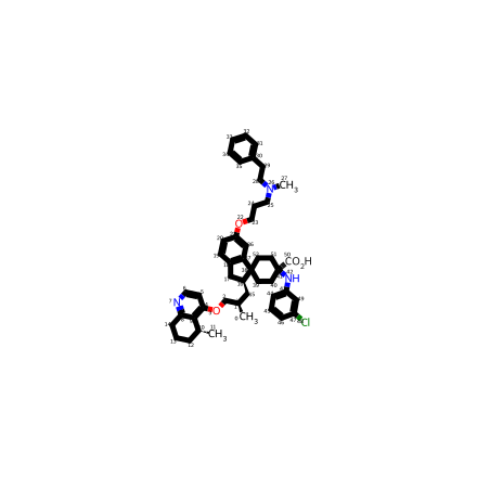 C[C@@H](COc1ccnc2c1[C@H](C)CCC2)C[C@H]1Cc2ccc(OCCCN(C)CCc3ccccc3)cc2C12CCC(Nc1cccc(Cl)c1)(C(=O)O)CC2